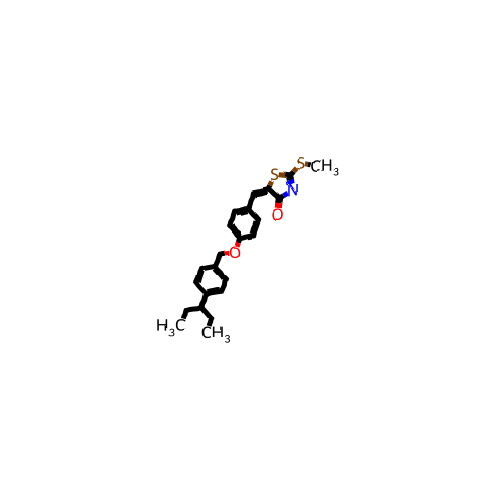 CCC(CC)c1ccc(COc2ccc(C=C3SC(SC)=NC3=O)cc2)cc1